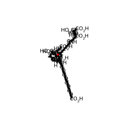 O=C(O)CCOCCOCCOCCOCCOCCOCCOCCOCCNc1nc(Nc2ccc(C3CC3CN(CCN(CCN(CCNCC(=O)O)CC(=O)O)CC(=O)O)CC(=O)O)cc2)nc(N2CCN(CCCCCCCCCCC(=O)NCCCC[C@H](NC(=O)N[C@@H](CCC(=O)O)C(=O)O)C(=O)O)CC2)n1